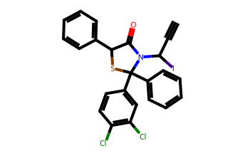 C#CC(I)N1C(=O)C(c2ccccc2)SC1(c1ccccc1)c1ccc(Cl)c(Cl)c1